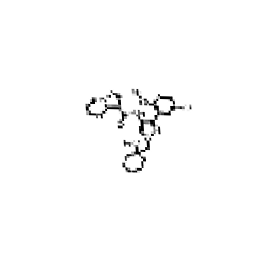 CCOc1ccc(Cl)cc1-c1nn(CC2(O)CCCCC2)cc1NC(=O)c1cnn2cccnc12